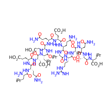 CC(C)C[C@H](NC(=O)[C@H](CO)NC(=O)[C@H](CC(N)=O)NC(=O)[C@@H](NC(=O)[C@H](CCCNC(=N)N)NC(=O)[C@@H](NC(=O)[C@H](CCC(N)=O)NC(=O)[C@H](CCC(=O)O)NC(=O)[C@H](CCC(N)=O)NC(=O)[C@H](CCC(=O)O)NC(=O)[C@H](CC(C)C)NC(=O)[C@H](CC(=O)O)NC(=O)[C@H](CCC(=O)O)NC(=O)[C@H](CCC(N)=O)NC(=O)[C@@H](N)CC(C)C)C(C)C)C(C)C)C(=O)O